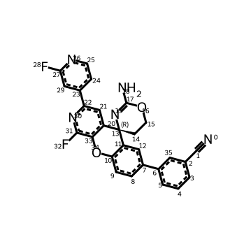 N#Cc1cccc(-c2ccc3c(c2)[C@]2(CCOC(N)=N2)c2cc(-c4ccnc(F)c4)nc(F)c2O3)c1